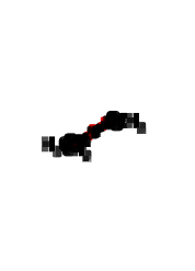 C=CC(=O)Oc1ccc(C#Cc2ccc(C#Cc3ccc(OC(=O)C(=C)C)cc3F)cc2)cc1